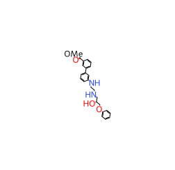 COC(=O)c1cccc(-c2cccc(NCCNCC(O)COc3ccccc3)c2)c1